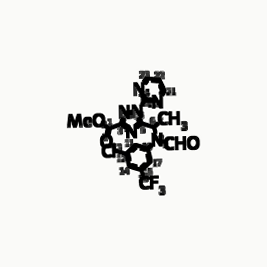 COC(=O)c1nc(C(C)N(C=O)c2cc(Cl)cc(C(F)(F)F)c2)n(-c2ncccn2)n1